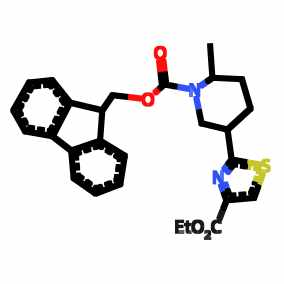 CCOC(=O)c1csc(C2CCC(C)N(C(=O)OCC3c4ccccc4-c4ccccc43)C2)n1